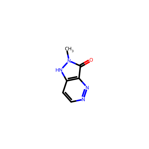 Cn1[nH]c2ccnnc2c1=O